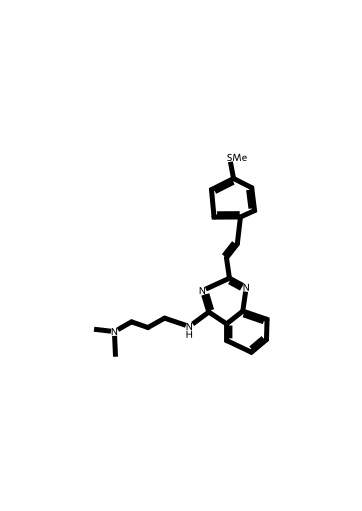 CSc1ccc(C=Cc2nc(NCCCN(C)C)c3ccccc3n2)cc1